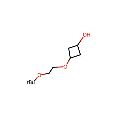 CC(C)(C)OCCOC1CC(O)C1